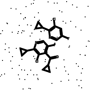 Fc1cnc(C2CC2)c(Cl)c1.O=C(c1c(F)cnc(C2CC2)c1Cl)C1CC1